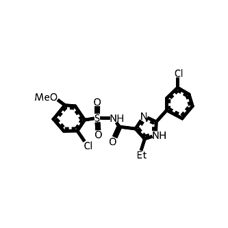 CCc1[nH]c(-c2cccc(Cl)c2)nc1C(=O)NS(=O)(=O)c1cc(OC)ccc1Cl